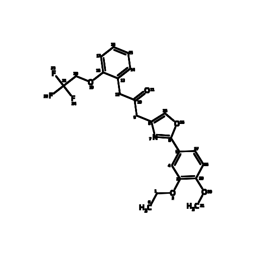 CCOc1cc(-c2nc(CC(=O)Cc3ccccc3OCC(F)(F)F)co2)ccc1OC